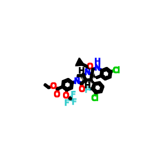 CCOC(=O)c1ccc(N2C[C@H]3[C@@H](C2=O)[C@H](c2cccc(Cl)c2F)[C@@]2(Cc4ccc(Cl)cc4NC2=O)N3CC2CC2)cc1OC(F)(F)F